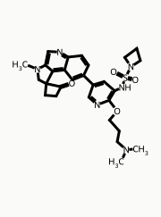 CN(C)CCCOc1ncc(-c2ccc3ncc4c(c3c2)C2(CCC2=O)CN4C)cc1NS(=O)(=O)N1CCC1